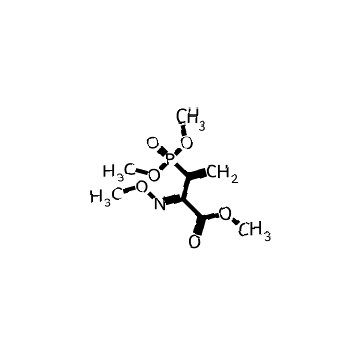 C=C(/C(=N\OC)C(=O)OC)P(=O)(OC)OC